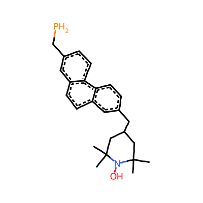 CC1(C)CC(Cc2ccc3c(ccc4cc(CP)ccc43)c2)CC(C)(C)N1O